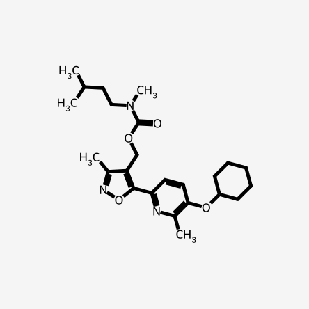 Cc1nc(-c2onc(C)c2COC(=O)N(C)CCC(C)C)ccc1OC1CCCCC1